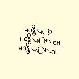 O=S(=O)(O)CCN1CCN(CCO)CC1.O=S(=O)(O)CCN1CCN(CCO)CC1.O=S(=O)(O)CCN1CCOCC1